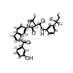 CCC(F)(F)c1cccc(NC(=O)C2C(=O)N(c3ccc4ccn(C(=O)c5cccc(O)c5)c4c3)N=C2C)c1